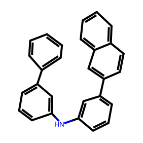 c1ccc(-c2cccc(Nc3cccc(-c4ccc5ccccc5c4)c3)c2)cc1